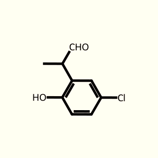 CC(C=O)c1cc(Cl)ccc1O